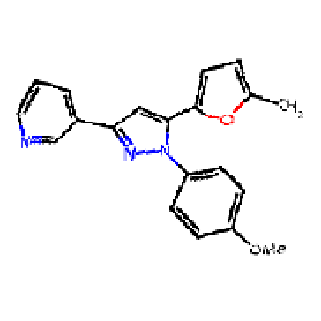 COc1ccc(-n2nc(-c3cccnc3)cc2-c2ccc(C)o2)cc1